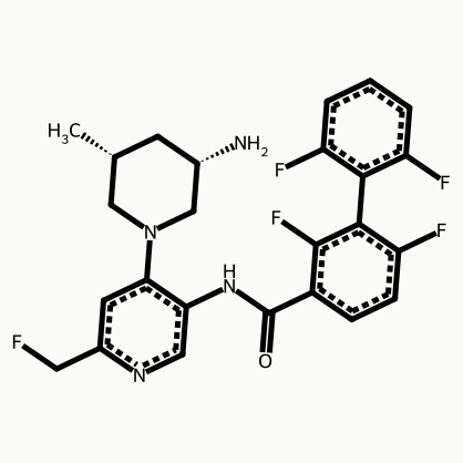 C[C@@H]1C[C@H](N)CN(c2cc(CF)ncc2NC(=O)c2ccc(F)c(-c3c(F)cccc3F)c2F)C1